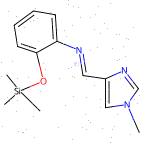 Cn1cnc(/C=N/c2ccccc2O[Si](C)(C)C)c1